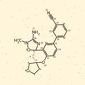 CN1O[C@@]2(C[C@@]3(CCOC3)Oc3ccc(-c4cccc(C#N)c4)cc32)N=C1N